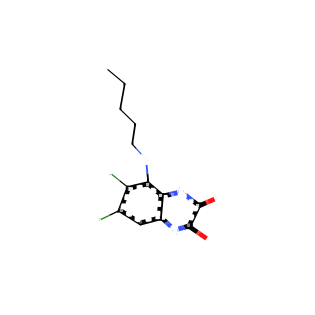 CCCCCNc1c(Cl)c(Cl)cc2[nH]c(=O)c(=O)[nH]c12